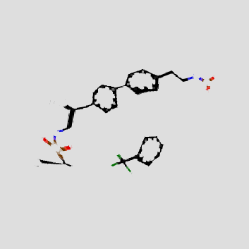 CC(CNS(=O)(=O)C(C)C)c1ccc(-c2ccc(CCN=S(=O)=O)cc2)cc1.FC(F)(F)c1ccccc1